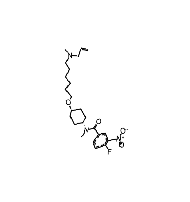 C=CCN(C)CCCCCCO[C@H]1CC[C@H](N(C)C(=O)c2ccc(F)c([N+](=O)[O-])c2)CC1